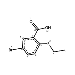 CCSc1ccc(Br)nc1C(=O)O